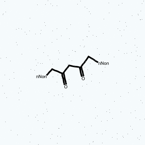 CCCCCCCCCCC(=O)CC(=O)CCCCCCCCCC